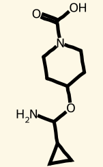 NC(OC1CCN(C(=O)O)CC1)C1CC1